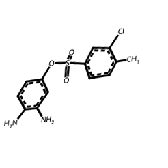 Cc1ccc(S(=O)(=O)Oc2ccc(N)c(N)c2)cc1Cl